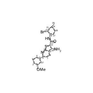 COc1cccc(-c2ccc3c(N)c(C(=O)Nc4ccc(C)cc4Br)sc3n2)c1